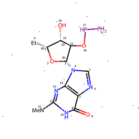 CC[C@H]1O[C@@H](n2cnc3c(=O)[nH]c(NC)nc32)C(OPP)[C@H]1O